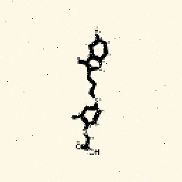 Cc1cc(SCCCc2sc3ccc(Br)cc3c2C)ccc1OCC(=O)O